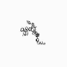 COc1ccc(-c2cn(C[C@H](C)N3CC(C)[C@H](CN(C)Cc4ccncc4)Oc4ccc(NC(=O)NC5CCCCC5)cc4CC3=O)nn2)cc1